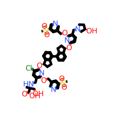 CC(CO)(NCc1cc(Cl)c(O[C@H]2CCc3c(-c4cccc5c4CC[C@@H]5Oc4ccc(CN5CC[C@@H](O)C5)c(OCc5cncc(S(C)(=O)=O)c5)n4)cccc32)nc1OCc1cncc(S(C)(=O)=O)c1)C(=O)O